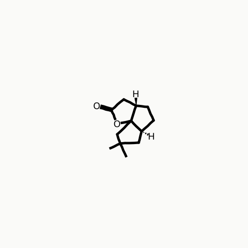 CC1(C)C[C@@H]2CC[C@H]3CC(=O)OC32C1